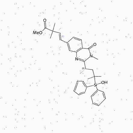 COC(=O)C(C)(C)/C=C/c1ccc2c(=O)n(C)c([C@@H](C)CC(C)(C)[Si](O)(c3ccccc3)c3ccccc3)nc2c1